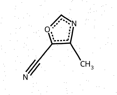 Cc1ncoc1C#N